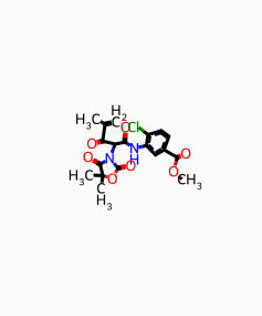 C=C(C)C(=O)C(C(=O)Nc1cc(C(=O)OC)ccc1Cl)N1C(=O)OC(C)(C)C1=O